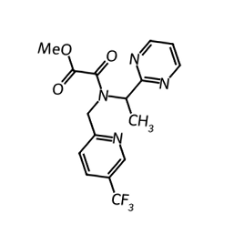 COC(=O)C(=O)N(Cc1ccc(C(F)(F)F)cn1)C(C)c1ncccn1